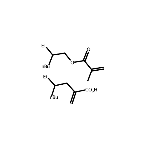 C=C(C)C(=O)OCC(CC)CCCC.C=C(CC(CC)CCCC)C(=O)O